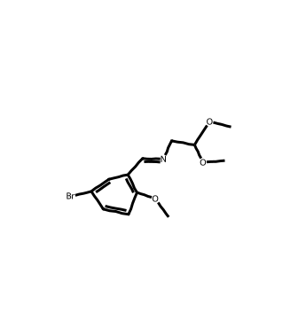 COc1ccc(Br)cc1C=NCC(OC)OC